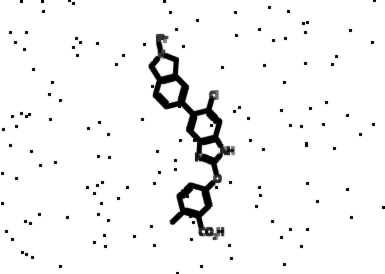 Cc1ccc(Oc2nc3cc(-c4ccc5c(c4)CN(C(C)C)C5)c(Cl)cc3[nH]2)cc1C(=O)O